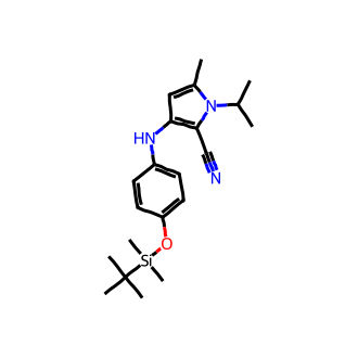 Cc1cc(Nc2ccc(O[Si](C)(C)C(C)(C)C)cc2)c(C#N)n1C(C)C